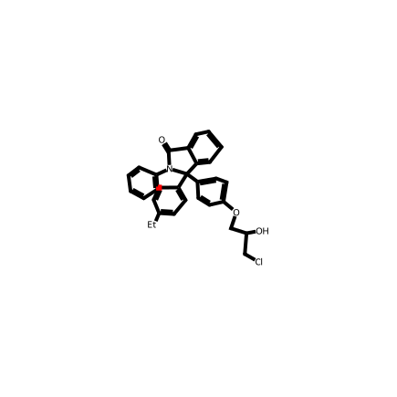 CCc1ccc(C2(c3ccc(OCC(O)CCl)cc3)c3ccccc3C(=O)N2c2ccccc2)cc1